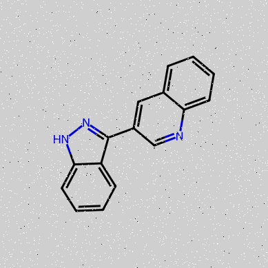 [c]1nc2ccccc2cc1-c1n[nH]c2ccccc12